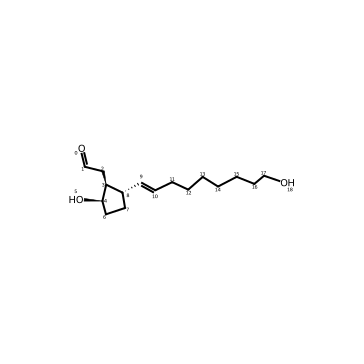 O=CC[C@@H]1[C@H](O)CC[C@H]1C=CCCCCCCCO